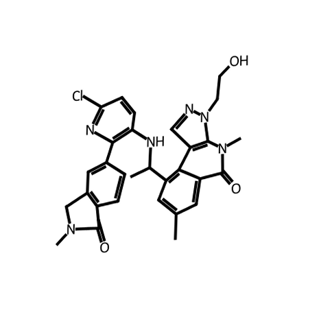 Cc1cc(C(C)Nc2ccc(Cl)nc2-c2ccc3c(c2)CN(C)C3=O)c2c(c1)c(=O)n(C)c1c2cnn1CCO